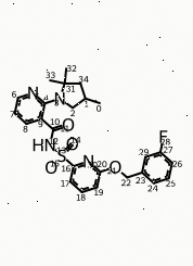 CC1CN(c2ncccc2C(=O)NS(=O)(=O)c2cccc(OCc3cccc(F)c3)n2)C(C)(C)C1